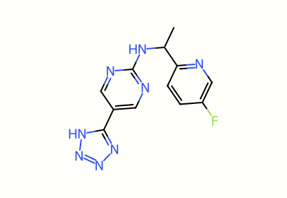 CC(Nc1ncc(-c2nnn[nH]2)cn1)c1ccc(F)cn1